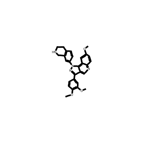 COc1ccc2ncc3c(-c4ccc(OC)c(OC)c4)nn(-c4ccc5c(c4)CNCC5)c3c2c1